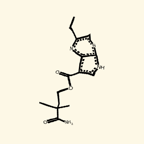 CCc1cnc2[nH]cc(C(=O)OCC(C)(C)C(N)=O)c2n1